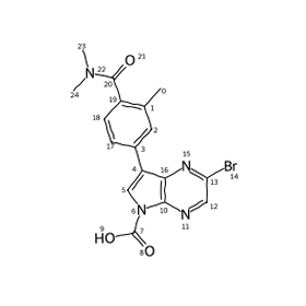 Cc1cc(-c2cn(C(=O)O)c3ncc(Br)nc23)ccc1C(=O)N(C)C